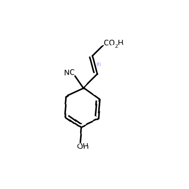 N#CC1(/C=C/C(=O)O)C=CC(O)=CC1